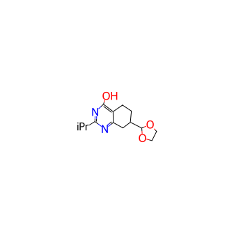 CC(C)c1nc(O)c2c(n1)CC(C1OCCO1)CC2